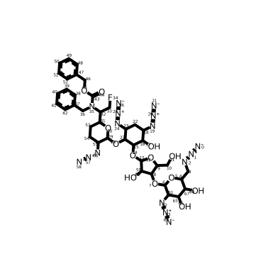 [N-]=[N+]=NCC1OC(OC2C(CO)OC(OC3C(O)C(N=[N+]=[N-])CC(N=[N+]=[N-])C3OC3OC(C(CF)N(Cc4ccccc4)C(=O)OCc4ccccc4)CCC3N=[N+]=[N-])C2O)C(N=[N+]=[N-])C(O)C1O